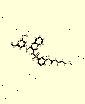 COCCNCC(=O)Nc1cccc(S(=O)(=O)Nc2nc3ccccc3nc2Nc2cc(OC)cc(OC)c2)c1